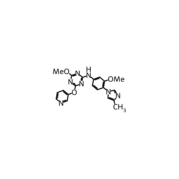 COc1nc(Nc2ccc(-n3cnc(C)c3)c(OC)c2)nc(Oc2cccnc2)n1